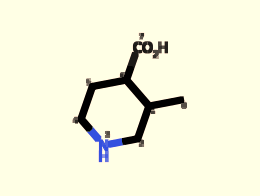 CC1CNCCC1C(=O)O